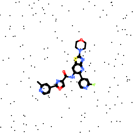 Cc1cc(-c2nc(C(=O)Nc3cc4sc(N5CCOCC5)nc4nc3-c3ccnc(F)c3)co2)ccn1